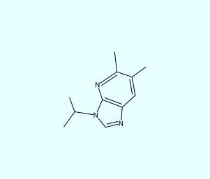 Cc1cc2ncn(C(C)C)c2nc1C